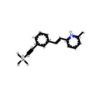 Cc1cccc(/C=C/c2cccc(C#C[Si](C)(C)C)c2)n1